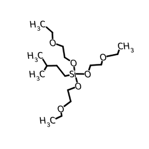 CCOCCO[Si](CCC(C)C)(OCCOCC)OCCOCC